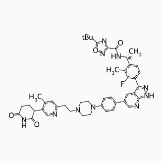 Cc1cc(CCN2CCN(c3ccc(-c4cnc5[nH]nc(-c6ccc([C@@H](C)NC(=O)c7noc(C(C)(C)C)n7)c(C)c6F)c5c4)cc3)CC2)ncc1C1CCC(=O)NC1=O